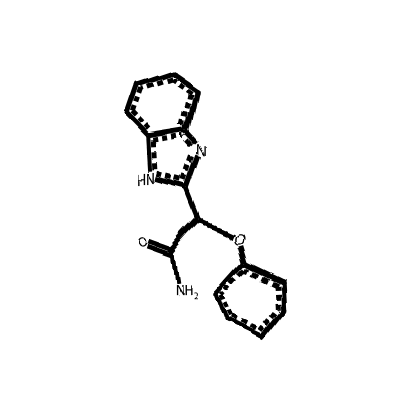 NC(=O)C(Oc1ccccc1)c1nc2ccccc2[nH]1